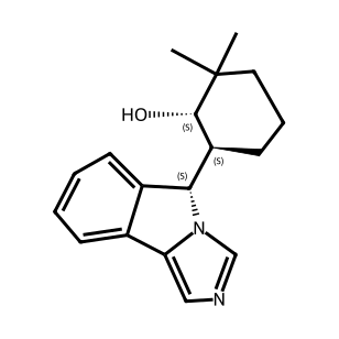 CC1(C)CCC[C@@H]([C@H]2c3ccccc3-c3cncn32)[C@@H]1O